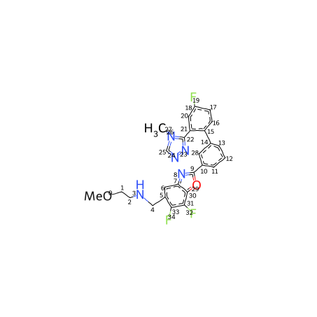 COCCNCc1cc2nc(-c3cccc(-c4ccc(F)cc4-c4nncn4C)c3)oc2c(F)c1F